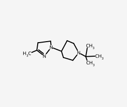 CC1=NN(C2CCN(C(C)(C)C)CC2)CC1